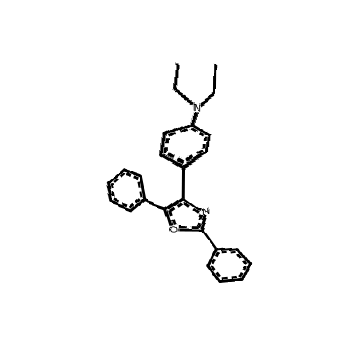 CCN(CC)c1ccc(-c2nc(-c3ccccc3)oc2-c2ccccc2)cc1